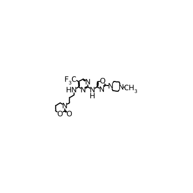 CN1CCN(c2nc(Nc3ncc(C(F)(F)F)c(NCCCN4CCCOC4=O)n3)co2)CC1